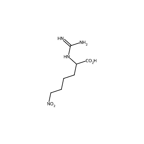 N=C(N)NC(CCCC[N+](=O)[O-])C(=O)O